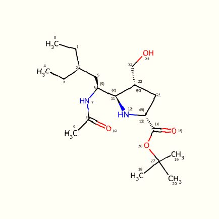 CCC(CC)C[C@H](NC(C)=O)[C@@H]1N[C@@H](C(=O)OC(C)(C)C)C[C@H]1CO